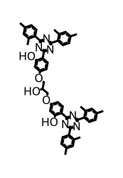 Cc1ccc(-c2nc(-c3ccc(C)cc3C)nc(-c3ccc(OCC(O)COc4ccc(-c5nc(-c6ccc(C)cc6C)nc(-c6ccc(C)cc6C)n5)c(O)c4)cc3O)n2)c(C)c1